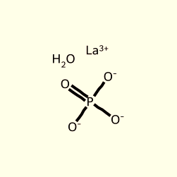 O.O=P([O-])([O-])[O-].[La+3]